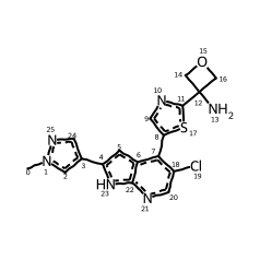 Cn1cc(-c2cc3c(-c4cnc(C5(N)COC5)s4)c(Cl)cnc3[nH]2)cn1